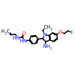 C=CCNC(=O)Nc1ccc(C2C(N)c3ccc(OCCF)cc3N2CC)cc1